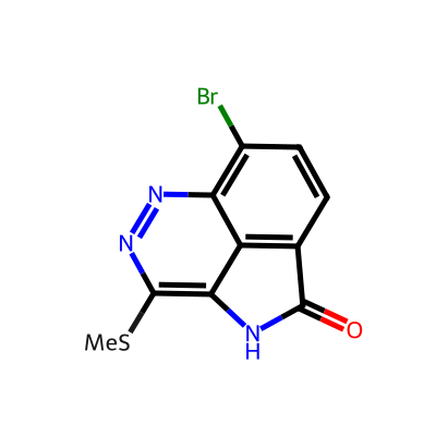 CSc1nnc2c(Br)ccc3c2c1NC3=O